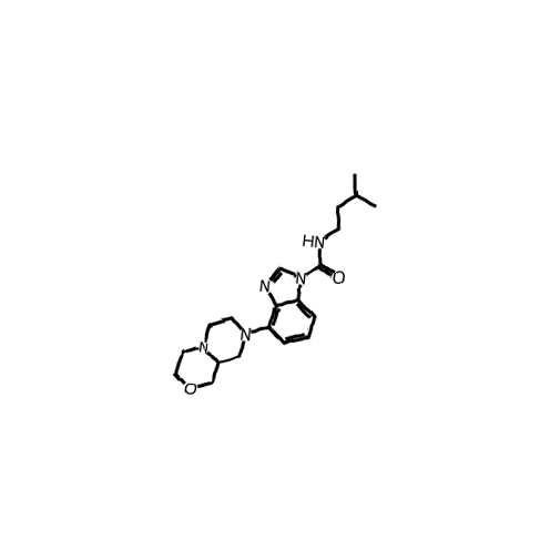 CC(C)CCNC(=O)n1cnc2c(N3CCN4CCOCC4C3)cccc21